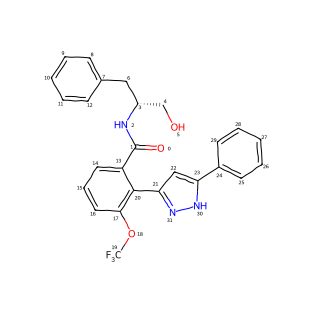 O=C(N[C@@H](CO)Cc1ccccc1)c1cccc(OC(F)(F)F)c1-c1cc(-c2ccccc2)[nH]n1